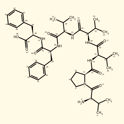 CC(C)[C@@H](N)C(=O)N1CCC[C@H]1C(=O)N[C@@H](C(=O)N[C@@H](C(=O)N[C@@H](C(=O)N[C@@H](Cc1ccccc1)C(=O)N[C@H](Cc1ccccc1)C(=O)O)C(C)C)C(C)C)C(C)C